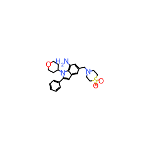 Nc1cc(CN2CCS(=O)(=O)CC2)cc2cc(-c3ccccc3)n(C3CCOCC3)c12